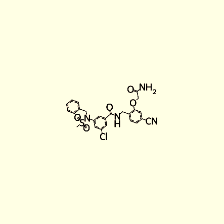 CS(=O)(=O)N(Cc1ccccc1)c1cc(Cl)cc(C(=O)NCc2ccc(C#N)cc2OCC(N)=O)c1